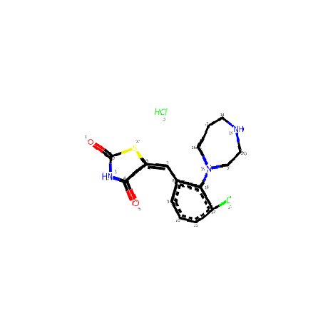 Cl.O=C1NC(=O)C(=Cc2cccc(Cl)c2N2CCCNCC2)S1